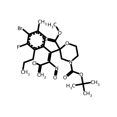 C=C(Cl)/C(N=O)=C(\c1cc(C)c(Br)c(F)c1CCC)C1(C(=O)OC)CN(C(=O)OC(C)(C)C)CCO1